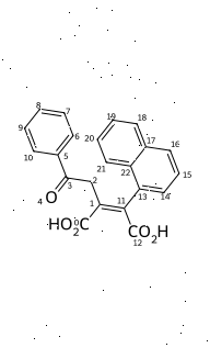 O=C(O)C(CC(=O)c1ccccc1)=C(C(=O)O)c1cccc2ccccc12